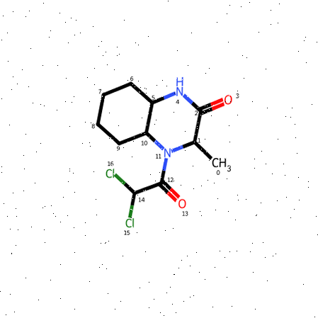 CC1C(=O)NC2CCCCC2N1C(=O)C(Cl)Cl